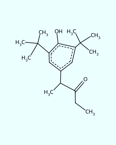 CCC(=O)C(C)c1cc(C(C)(C)C)c(O)c(C(C)(C)C)c1